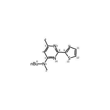 CCCCN(C)c1cc(C)nc(-c2cccs2)n1